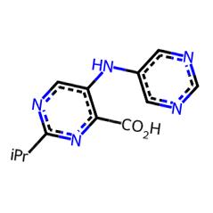 CC(C)c1ncc(Nc2cncnc2)c(C(=O)O)n1